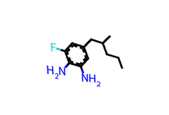 CCCC(C)Cc1cc(N)c(N)c(F)c1